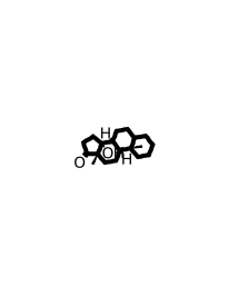 C[C@]12CCCCC1CC[C@@H]1[C@@H]2CC[C@]2(C)C(=O)CC[C@@]12O